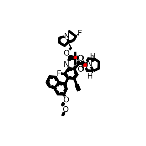 C#Cc1cc2c(N3C[C@H]4CC[C@@H](C3)N4C(=O)OC(C)(C)C)nc(OC[C@@]34CCCN3C[C@H](F)C4)nc2c(F)c1-c1cc(OCOC)cc2ccccc12